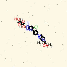 CC(C)(O)CN1Cc2cn(-c3ccc(-c4nc5nc(O[C@@H]6CO[C@H]7[C@@H]6OC[C@H]7O)[nH]c5cc4Cl)cc3)nc2C1